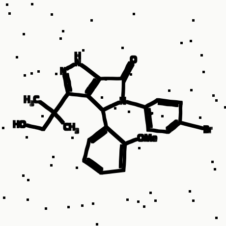 COc1ccccc1C1c2c(C(C)(C)CO)n[nH]c2C(=O)N1c1ccc(Br)cc1